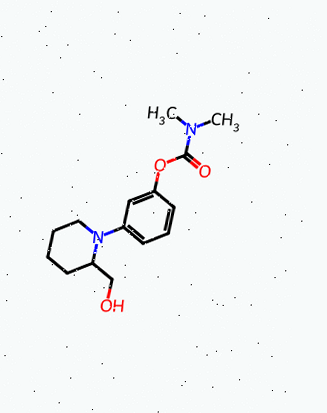 CN(C)C(=O)Oc1cccc(N2CCCCC2CO)c1